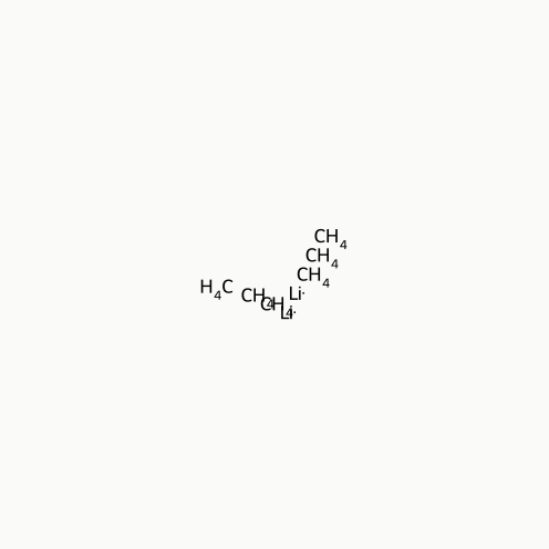 C.C.C.C.C.C.[Li].[Li]